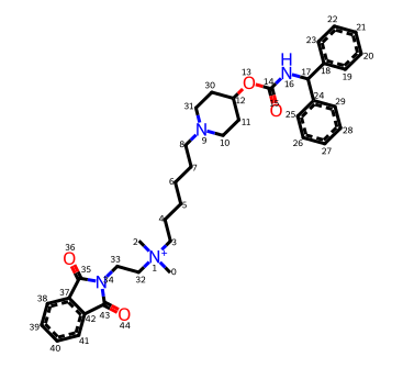 C[N+](C)(CCCCCCN1CCC(OC(=O)NC(c2ccccc2)c2ccccc2)CC1)CCN1C(=O)c2ccccc2C1=O